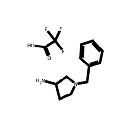 NC1CCN(Cc2ccccc2)C1.O=C(O)C(F)(F)F